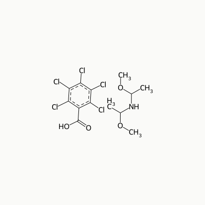 COC(C)NC(C)OC.O=C(O)c1c(Cl)c(Cl)c(Cl)c(Cl)c1Cl